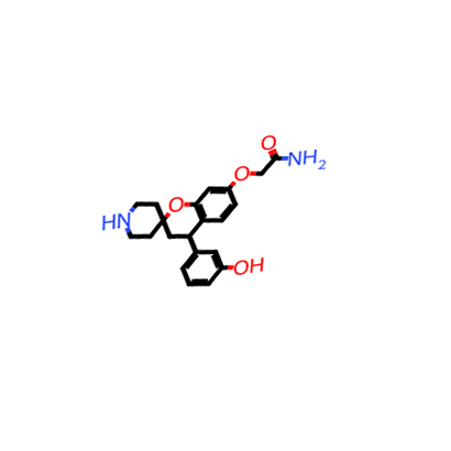 NC(=O)COc1ccc2c(c1)OC1(CCNCC1)CC2c1cccc(O)c1